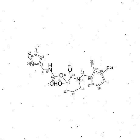 Cc1cc(CNC(=O)OC2(O)CCCN(Cc3cccc(F)c3F)C2=O)no1